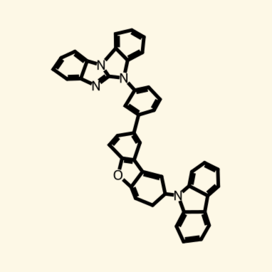 C1=c2oc3ccc(-c4cccc(-n5c6ccccc6n6c7ccccc7nc56)c4)cc3c2=CC(n2c3ccccc3c3ccccc32)C1